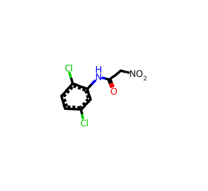 O=C(C[N+](=O)[O-])Nc1cc(Cl)ccc1Cl